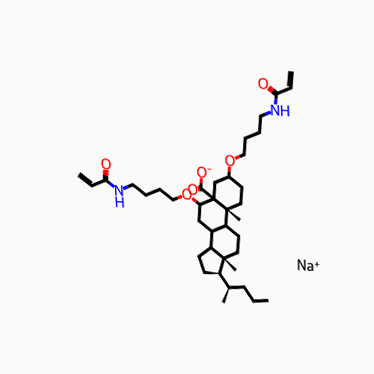 C=CC(=O)NCCCCOC1CC[C@]2(C)C3CC[C@@]4(C)C(CC[C@@H]4[C@H](C)CCC)C3CC(OCCCCNC(=O)C=C)C2(C(=O)[O-])C1.[Na+]